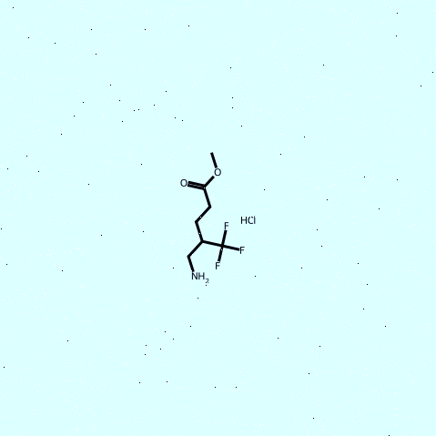 COC(=O)CCC(CN)C(F)(F)F.Cl